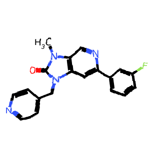 Cn1c(=O)n(Cc2ccncc2)c2cc(-c3cccc(F)c3)ncc21